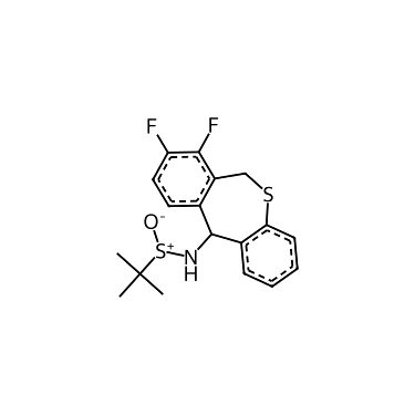 CC(C)(C)[S+]([O-])NC1c2ccccc2SCc2c1ccc(F)c2F